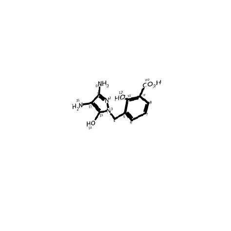 Nc1nn(Cc2cccc(C(=O)O)c2O)c(O)c1N